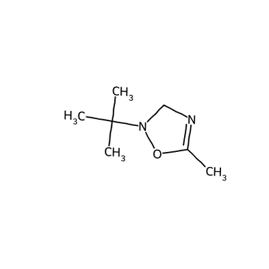 CC1=NCN(C(C)(C)C)O1